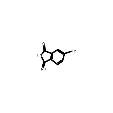 CC(C)c1ccc2c(c1)C(=O)NC2=N